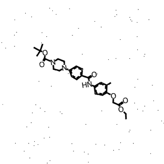 CCOC(=O)COc1ccc(NC(=O)c2ccc(N3CCN(C(=O)OC(C)(C)C)CC3)cc2)cc1C